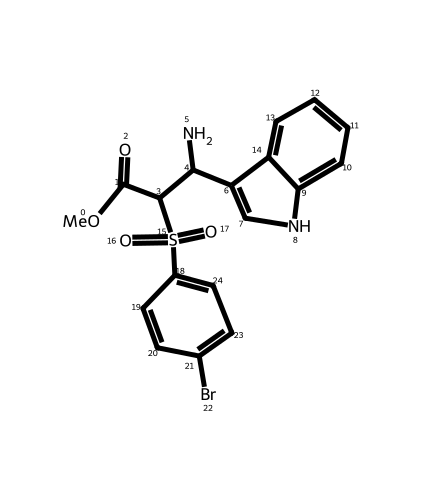 COC(=O)C(C(N)c1c[nH]c2ccccc12)S(=O)(=O)c1ccc(Br)cc1